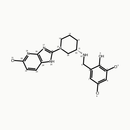 Oc1c(Cl)cc(Cl)cc1CN[C@H]1CCCN(c2nc3nc(Cl)ccc3[nH]2)C1